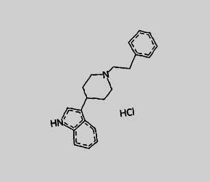 Cl.c1ccc(CCN2CCC(c3c[nH]c4ccccc34)CC2)cc1